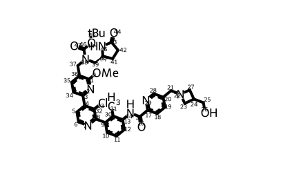 COc1nc(-c2ccnc(-c3cccc(NC(=O)c4ccc(CN5CC(CO)C5)cn4)c3C)c2Cl)ccc1CN(C[C@@H]1CCC(=O)N1)C(=O)OC(C)(C)C